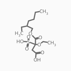 CCCCC(CC)COC(=O)C(CC(=O)O)(OCC)S(=O)(=O)O